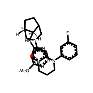 COc1cc(N2CC3CC[C@@H](C2)[C@@H]3Nc2nc3n(n2)CCCN3c2cccc(F)c2)cnn1